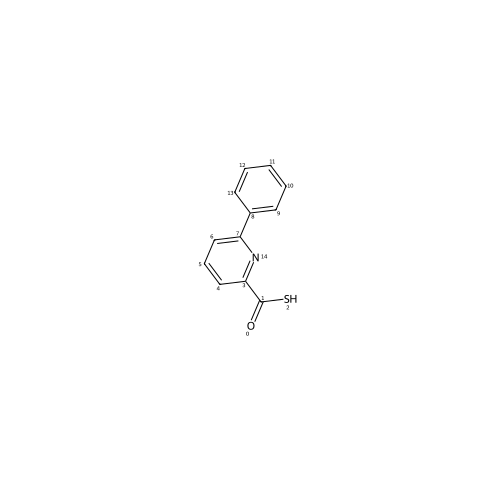 O=C(S)c1cccc(-c2ccccc2)n1